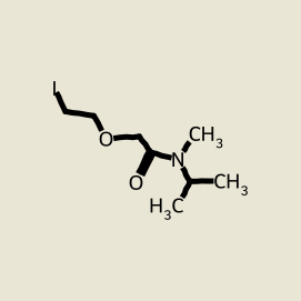 CC(C)N(C)C(=O)COCCI